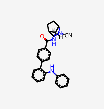 N#CN1CC2CCC1[C@@H]2NC(=O)c1ccc(-c2ccccc2Nc2ccccc2)cc1